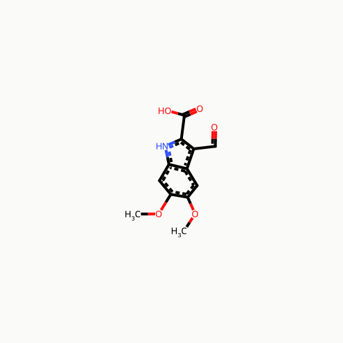 COc1cc2[nH]c(C(=O)O)c(C=O)c2cc1OC